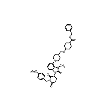 COc1ccc(CN2C(=O)CCC(n3c(=O)n(C)c4c(N5CCC(COC6CCN(C(=O)OCc7ccccc7)CC6)CC5)cccc43)C2=O)cc1